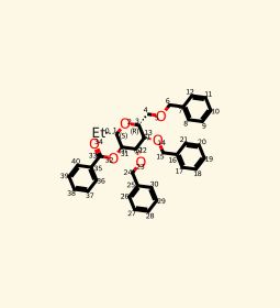 CC[C@@H]1O[C@H](COCc2ccccc2)[C@H](OCc2ccccc2)[C@H](OCc2ccccc2)[C@H]1OC(=O)c1ccccc1